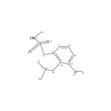 CNS(=O)(=O)Cc1cccc(OC)c1CC(C)C